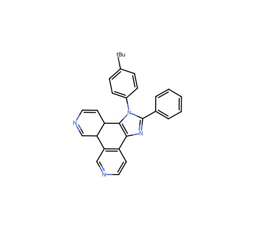 CC(C)(C)c1ccc(-n2c(-c3ccccc3)nc3c2C2C=CN=CC2c2cnccc2-3)cc1